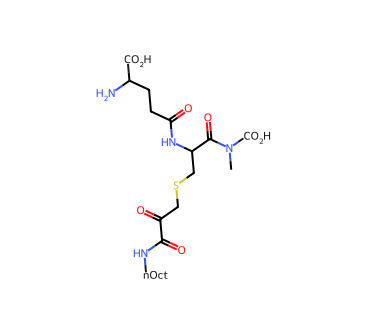 CCCCCCCCNC(=O)C(=O)CSCC(NC(=O)CCC(N)C(=O)O)C(=O)N(C)C(=O)O